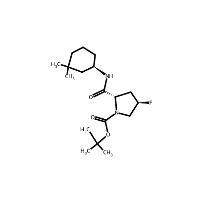 CC1(C)CCC[C@@H](NC(=O)[C@@H]2C[C@@H](F)CN2C(=O)OC(C)(C)C)C1